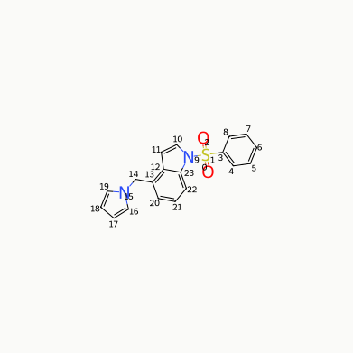 O=S(=O)(c1ccccc1)n1ccc2c(Cn3cccc3)cccc21